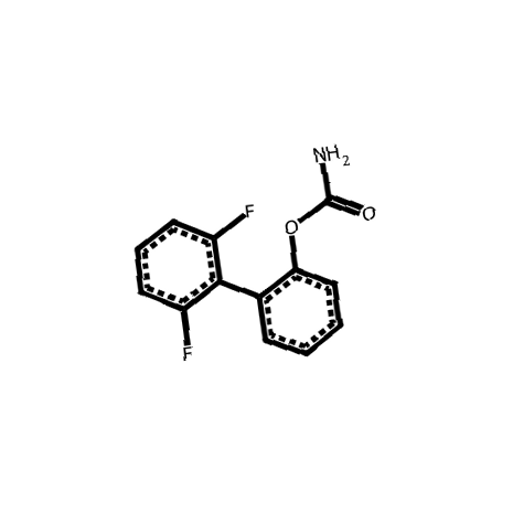 NC(=O)Oc1ccccc1-c1c(F)cccc1F